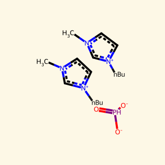 CCCC[n+]1ccn(C)c1.CCCC[n+]1ccn(C)c1.O=[PH]([O-])[O-]